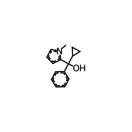 Cn1cccc1C(O)(c1ccccc1)C1CC1